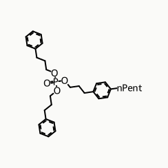 CCCCCc1ccc(CCCOP(=O)(OCCCc2ccccc2)OCCCc2ccccc2)cc1